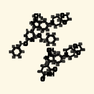 Cn1nc(-c2ccc(OCc3ccccc3)nc2OCc2ccccc2)c2ccc(N3CCC4(CC3)OCCO4)cc21.Cn1nc(C2CCC(=O)NC2=O)c2ccc(N3CCC4(CC3)OCCO4)cc21